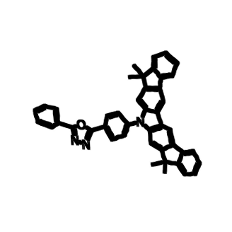 CC1(C)c2ccccc2-c2cc3c4cc5c(cc4n(-c4ccc(-c6nnc(-c7ccccc7)o6)cc4)c3cc21)C(C)(C)c1ccccc1-5